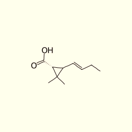 CC/C=C/C1[C@@H](C(=O)O)C1(C)C